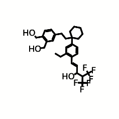 CCc1cc(C2(CCc3ccc(CO)c(CO)c3)CCCCC2)ccc1C=CC(O)C(C(F)(F)F)C(F)(F)F